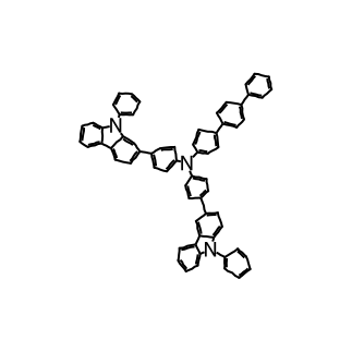 c1ccc(-c2ccc(-c3ccc(N(c4ccc(-c5ccc6c(c5)c5ccccc5n6-c5ccccc5)cc4)c4ccc(-c5ccc6c7ccccc7n(-c7ccccc7)c6c5)cc4)cc3)cc2)cc1